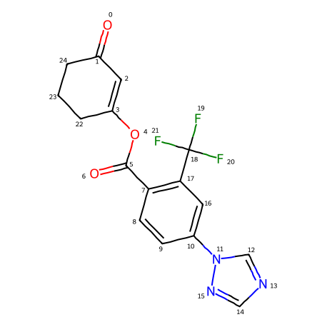 O=C1C=C(OC(=O)c2ccc(-n3cncn3)cc2C(F)(F)F)CCC1